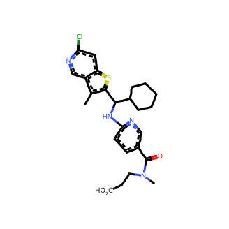 Cc1c(C(Nc2ccc(C(=O)N(C)CCC(=O)O)cn2)C2CCCCC2)sc2cc(Cl)ncc12